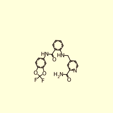 NC(=O)c1cc(CNc2ccccc2C(=O)Nc2ccc3c(c2)OC(F)(F)O3)ccn1